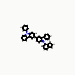 c1ccc(-n2c3ccccc3c3cc(-c4ccc5c(c4)c4ccccc4n5-c4cccc5c4CCC5)ccc32)cc1